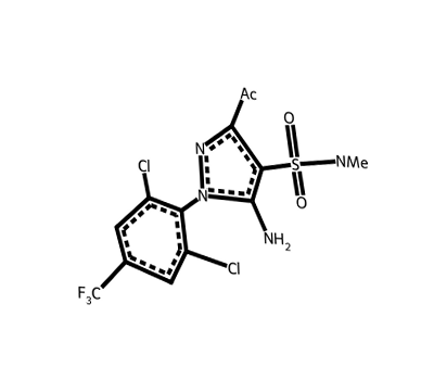 CNS(=O)(=O)c1c(C(C)=O)nn(-c2c(Cl)cc(C(F)(F)F)cc2Cl)c1N